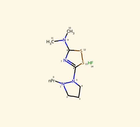 CCCN1CCCN1C1=NC(N(C)C)SS1.F